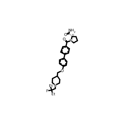 CCC(F)(CC)CN1CCC(COc2ccc(-c3ccc(C(=O)N4CCC[C@H]4C(N)=O)cc3)cc2)CC1